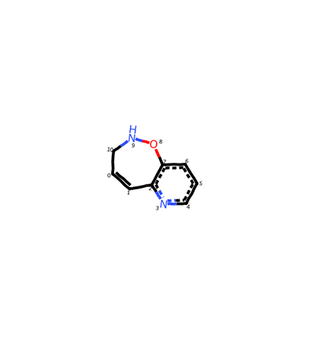 C1=Cc2ncccc2ONC1